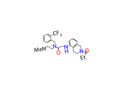 CCC(=O)N1CCc2c(cccc2NCC(=O)N(CCNC)Cc2ccccc2C(F)(F)F)C1